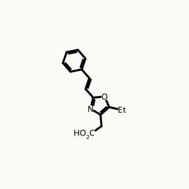 CCc1oc(C=Cc2ccccc2)nc1CC(=O)O